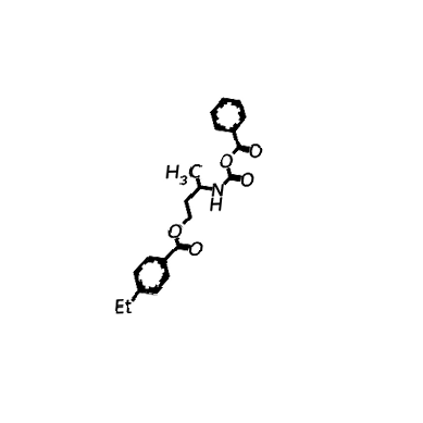 CCc1ccc(C(=O)OCCC(C)NC(=O)OC(=O)c2ccccc2)cc1